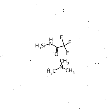 CN(C)C.O=C(N[SiH3])C(F)(F)F